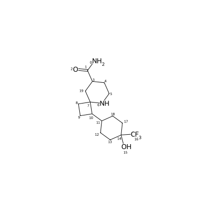 NC(=O)C1CCNC2(CCC2C2CCC(O)(C(F)(F)F)CC2)C1